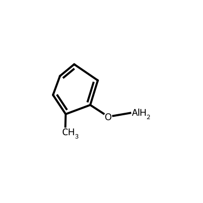 Cc1ccccc1[O][AlH2]